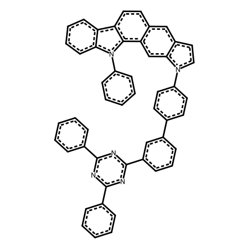 c1ccc(-c2nc(-c3ccccc3)nc(-c3cccc(-c4ccc(-n5ccc6cc7ccc8c9ccccc9n(-c9ccccc9)c8c7cc65)cc4)c3)n2)cc1